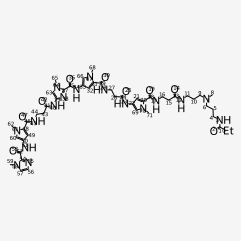 CCC(=O)NCCCN(C)CCCNC(=O)CCNC(=O)c1cc(NC(=O)CCNC(=O)c2cc(NC(=O)c3nc(NC(=O)CCNC(=O)c4cc(NC(=O)c5nccn5C)cn4C)cn3C)cn2C)cn1C